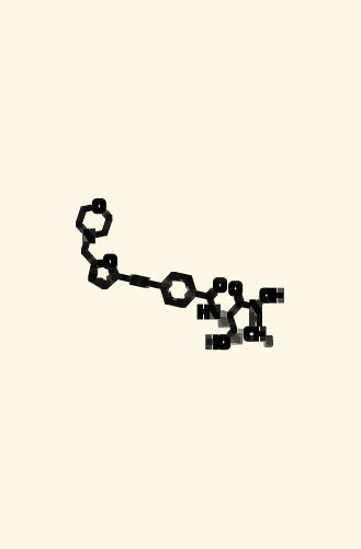 C[C@H](O)[C@H](NC(=O)c1ccc(C#Cc2ccc(CN3CCOCC3)o2)cc1)C(=O)NO